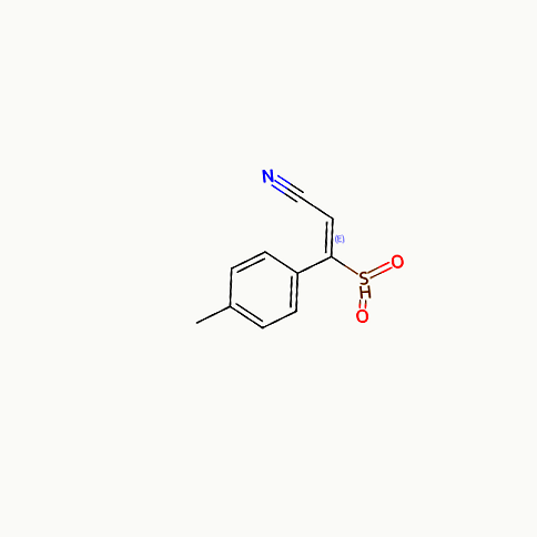 Cc1ccc(/C(=C\C#N)[SH](=O)=O)cc1